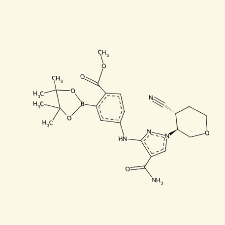 COC(=O)c1ccc(Nc2nn([C@@H]3COCC[C@H]3C#N)cc2C(N)=O)cc1B1OC(C)(C)C(C)(C)O1